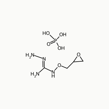 NN=C(N)NOCC1CO1.O=P(O)(O)O